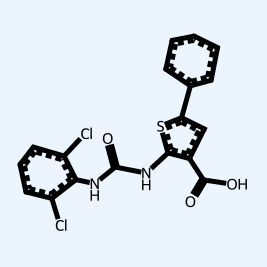 O=C(Nc1sc(-c2ccccc2)cc1C(=O)O)Nc1c(Cl)cccc1Cl